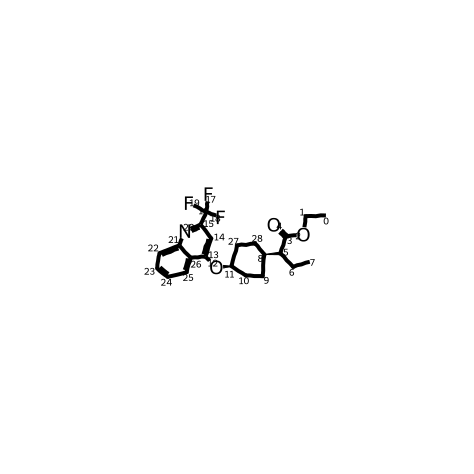 CCOC(=O)C(CC)[C@H]1CC[C@@H](Oc2cc(C(F)(F)F)nc3ccccc23)CC1